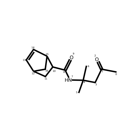 CC(=O)CC(C)(C)NC(=O)C1CC2C=CC1C2